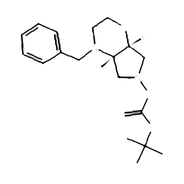 CC(C)(C)OC(=O)ON1C[C@H]2OCCN(Cc3ccccc3)[C@H]2C1